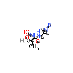 CC[C@H](C)[C@H](NC(=O)O)C(=O)NCC1CN(C#N)C1